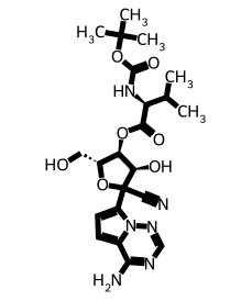 CC(C)[C@H](NC(=O)OC(C)(C)C)C(=O)O[C@H]1[C@@H](O)C(C#N)(c2ccc3c(N)ncnn23)O[C@@H]1CO